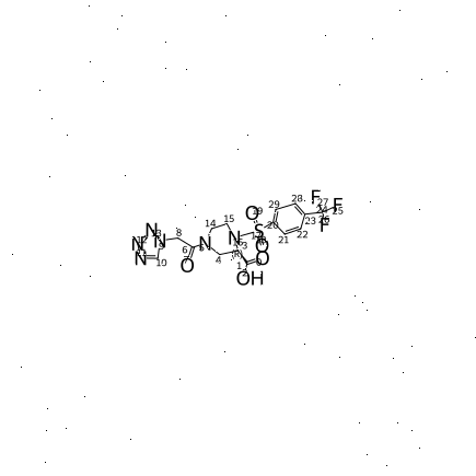 O=C(O)[C@H]1CN(C(=O)Cn2cnnn2)CCN1S(=O)(=O)c1ccc(C(F)(F)F)cc1